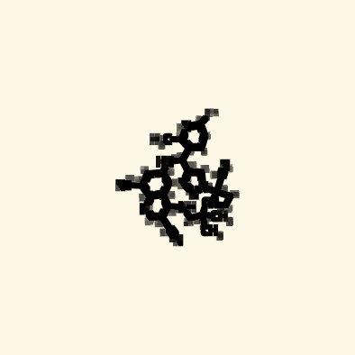 Cc1nc(F)ccc1C(Nc1cc(C#N)c2ncc(C#N)c(NCC(C)(C)C)c2c1)c1cn(C2(C#N)CCC2)nn1